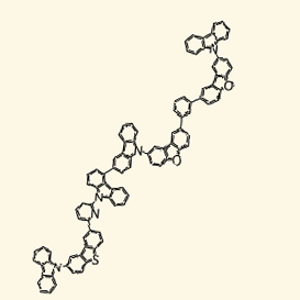 c1cc(-c2ccc3oc4ccc(-n5c6ccccc6c6ccccc65)cc4c3c2)cc(-c2ccc3oc4ccc(-n5c6ccccc6c6cc(-c7cccc8c7c7ccccc7n8-c7cccc(-c8ccc9sc%10ccc(-n%11c%12ccccc%12c%12ccccc%12%11)cc%10c9c8)n7)ccc65)cc4c3c2)c1